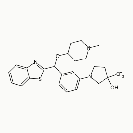 CN1CCC(OC(c2cccc(N3CCC(O)(C(F)(F)F)C3)c2)c2nc3ccccc3s2)CC1